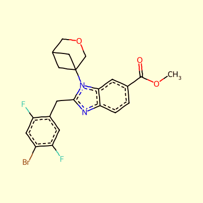 COC(=O)c1ccc2nc(Cc3cc(F)c(Br)cc3F)n(C34COCC(C3)C4)c2c1